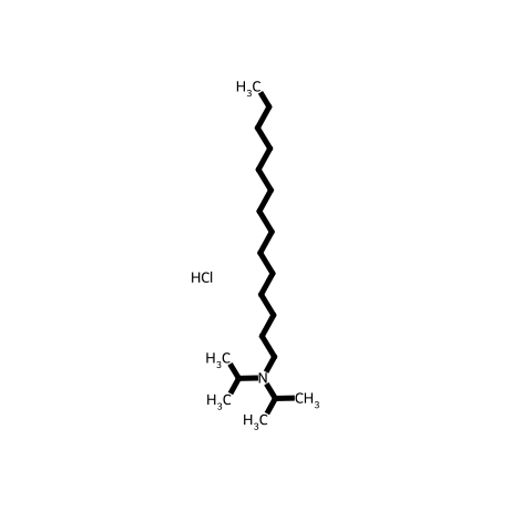 CCCCCCCCCCCCCCN(C(C)C)C(C)C.Cl